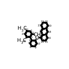 Cc1cc(C)c(-c2ccccc2Oc2cccc3cc4ccccc4cc23)c(C)c1